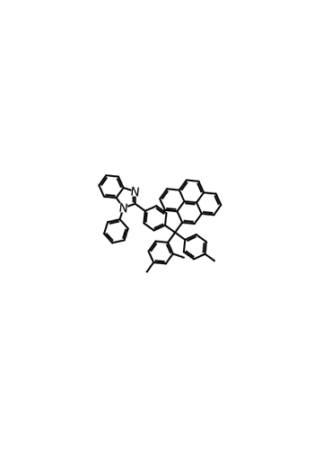 Cc1ccc(C(c2ccc(-c3nc4ccccc4n3-c3ccccc3)cc2)(c2ccc(C)cc2C)c2cc3cccc4ccc5cccc2c5c43)cc1